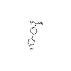 C=C(C)c1ccc(-c2ccc(C(C)C)cc2)cc1